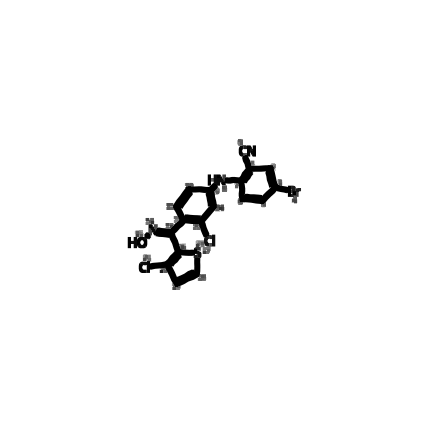 N#Cc1cc(Br)ccc1Nc1ccc(/C(=N/O)c2sccc2Cl)c(Cl)c1